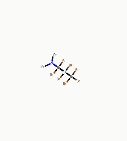 CC(C)N(C(C)C)[Si](Br)(Br)[Si](Br)(Br)[Si](Br)(Br)Br